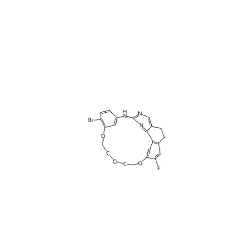 Fc1cc2c3cc1OCCOCCOc1cc(ccc1Br)Nc1ncc(c-3n1)CC2